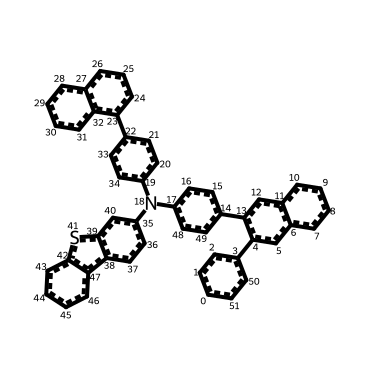 c1ccc(-c2cc3ccccc3cc2-c2ccc(N(c3ccc(-c4cccc5ccccc45)cc3)c3ccc4c(c3)sc3ccccc34)cc2)cc1